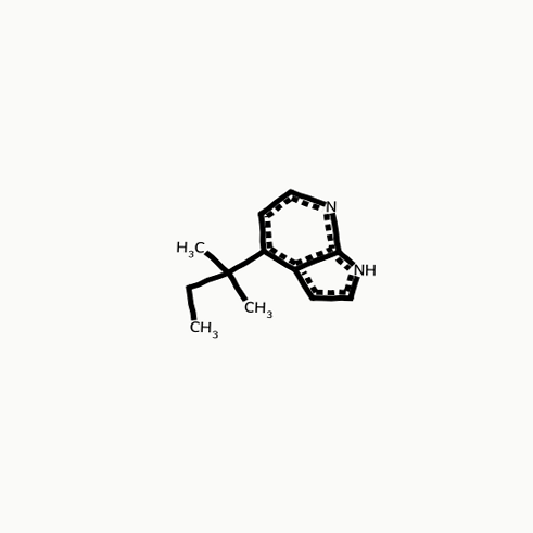 CCC(C)(C)c1ccnc2[nH]ccc12